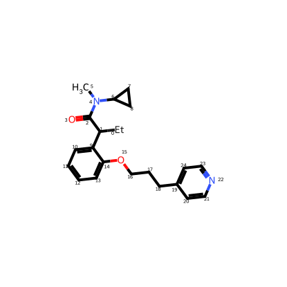 CCC(C(=O)N(C)C1CC1)c1ccccc1OCCCc1ccncc1